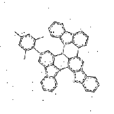 Cc1cc(C)c(-c2cc3c4c(c2)c2ccccc2n4-c2c4c(cc5c2oc2ccccc25)-c2cccc5c6ccccc6n(c25)B43)c(C)c1